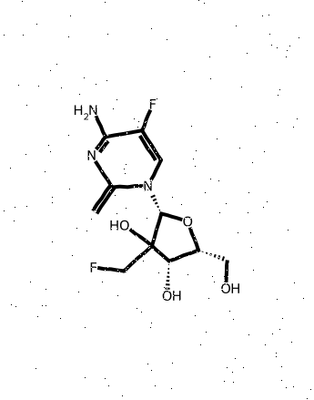 C=C1N=C(N)C(F)=CN1[C@@H]1O[C@H](CO)[C@H](O)C1(O)CF